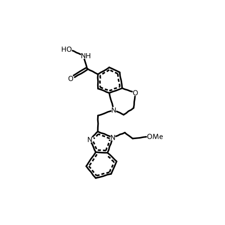 COCCn1c(CN2CCOc3ccc(C(=O)NO)cc32)nc2ccccc21